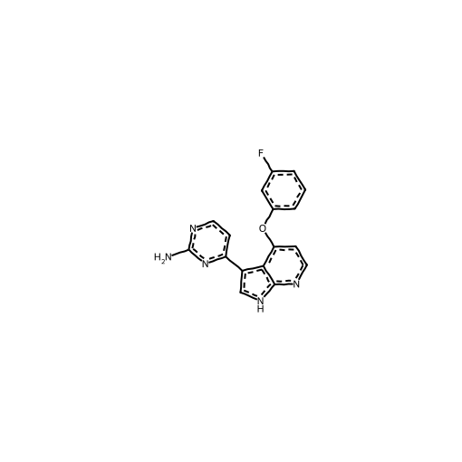 Nc1nccc(-c2c[nH]c3nccc(Oc4cccc(F)c4)c23)n1